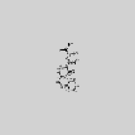 C=N/C(=C\C(F)=C(/C)F)c1coc2ccc3ccccc3c2c1=O